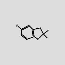 CC1(C)Cc2cc(F)ccc2O1